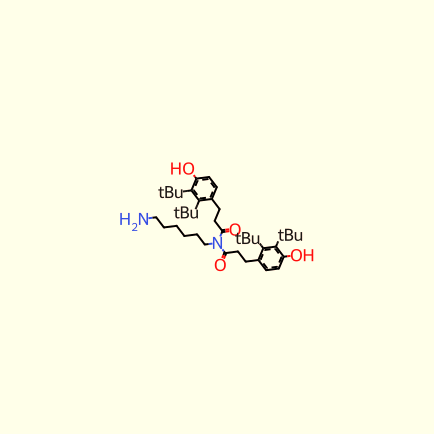 CC(C)(C)c1c(O)ccc(CCC(=O)N(CCCCCCN)C(=O)CCc2ccc(O)c(C(C)(C)C)c2C(C)(C)C)c1C(C)(C)C